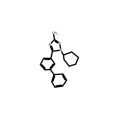 Cc1nc(-c2cccc(-c3ccccc3)c2)n(C2CCCCC2)n1